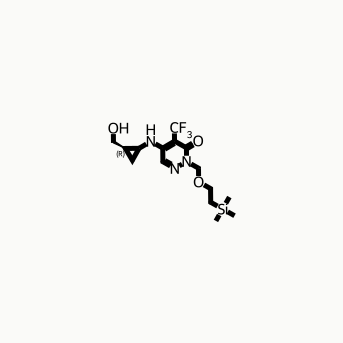 C[Si](C)(C)CCOCn1ncc(NC2C[C@H]2CO)c(C(F)(F)F)c1=O